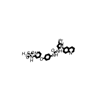 CC(C)c1cc(NC(=O)Nc2ccc(Oc3ccnc(NS(C)(=O)=O)c3)cc2)n(-c2ccc3ncccc3c2)n1